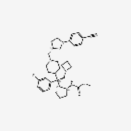 COC(=O)N[C@H]1CCC[C@@H]1[C@](CN1CCC1)(c1cccc(F)c1)C1CCN(C[C@@H]2CCN(c3ccc(C#N)cc3)C2)CC1